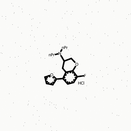 CCCN(CCC)C1COc2c(F)ccc(-c3ccco3)c2C1.Cl